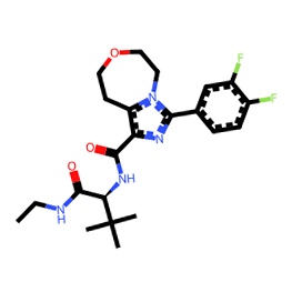 CCNC(=O)[C@@H](NC(=O)c1nc(-c2ccc(F)c(F)c2)n2c1CCOCC2)C(C)(C)C